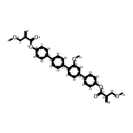 C=C(COC)C(=O)Oc1ccc(-c2ccc(-c3ccc(-c4ccc(OC(=O)C(=C)COC)cc4)cc3OC)cc2)cc1